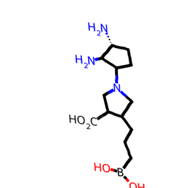 NC1C(N2CC(CCCB(O)O)C(C(=O)O)C2)CC[C@H]1N